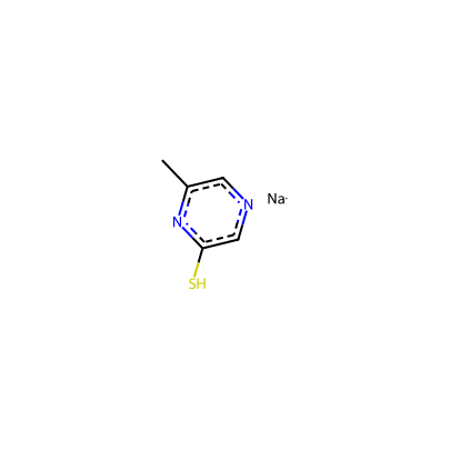 Cc1cncc(S)n1.[Na]